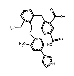 CCc1cccc(Cc2ccc(C(=O)O)cc2C(=O)O)c1COc1ccc(-c2cc[nH]n2)cc1C